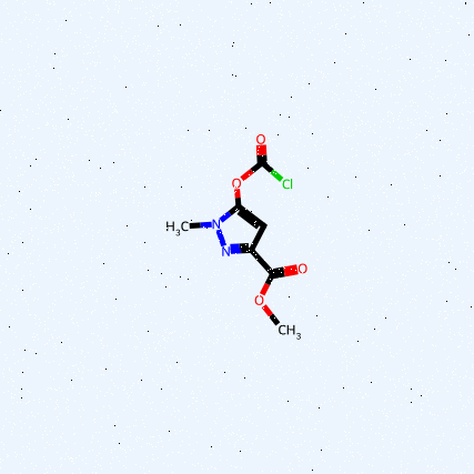 COC(=O)c1cc(OC(=O)Cl)n(C)n1